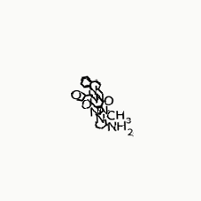 CCn1c(N2CCCC(N)C2)nc2c(=O)n(CC3CCOC3)n(Cc3ccc4ccccc4n3)c(=O)c21